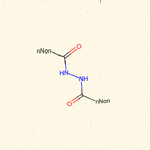 CCCCCCCCCC(=O)NNC(=O)CCCCCCCCC